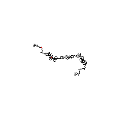 Cc1c(C)c2c(c(C)c1OC(=O)CCC(=O)OCCCC1CCN(CCSSCCN3CCC(CCCOC(=O)CCC(=O)Oc4c(C)c(C)c5c(c4C)CCC(C)(CCCC(C)CCCC(C)CCCC(C)C)O5)CC3)CC1)CCC(C)(CCCC(C)CCCC(C)CCCC(C)C)O2